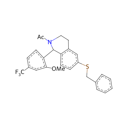 COc1cc(C(F)(F)F)ccc1C1c2ccc(SCc3ccccc3)cc2CCN1C(C)=O